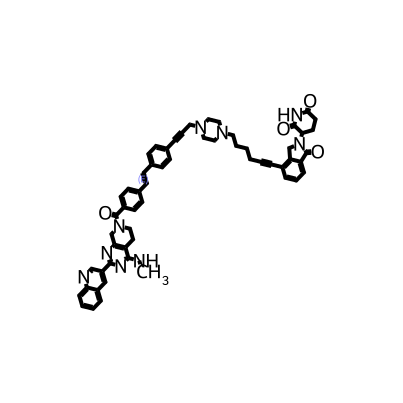 CNc1nc(-c2cnc3ccccc3c2)nc2c1CCN(C(=O)c1ccc(/C=C/c3ccc(C#CCN4CCN(CCCCC#Cc5cccc6c5CN(C5CCC(=O)NC5=O)C6=O)CC4)cc3)cc1)C2